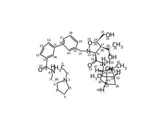 CCN1CCC[C@@H]1CNC(=O)c1cccc(-c2cccc(CN3O[C@@H](CO)[C@@H]([C@H](C)O)[C@H]3C(=O)N[C@H]3C[C@H]4C[C@@H]([C@@H]3C)C4(C)C)c2)c1